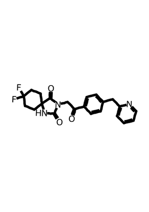 O=C(CN1C(=O)NC2(CCC(F)(F)CC2)C1=O)c1ccc(Cc2ccccn2)cc1